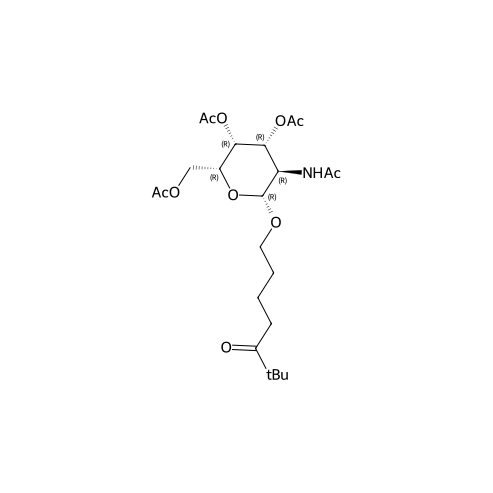 CC(=O)N[C@H]1[C@H](OCCCCC(=O)C(C)(C)C)O[C@H](COC(C)=O)[C@H](OC(C)=O)[C@@H]1OC(C)=O